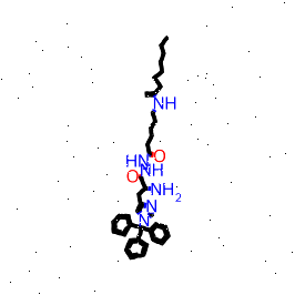 C=C(CCCCCCC)NCCCCCC(=O)NNC(=O)C(N)Cc1cn(C(c2ccccc2)(c2ccccc2)c2ccccc2)cn1